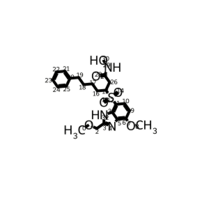 COCc1nc2c(OC)ccc(S(=O)(=O)C(CCCCc3ccccc3)CC(=O)NO)c2[nH]1